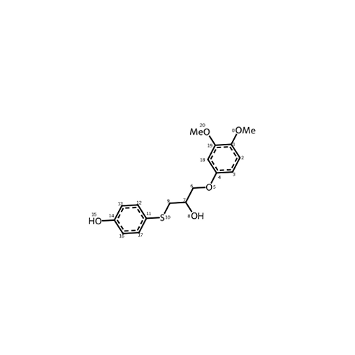 COc1ccc(OCC(O)CSc2ccc(O)cc2)cc1OC